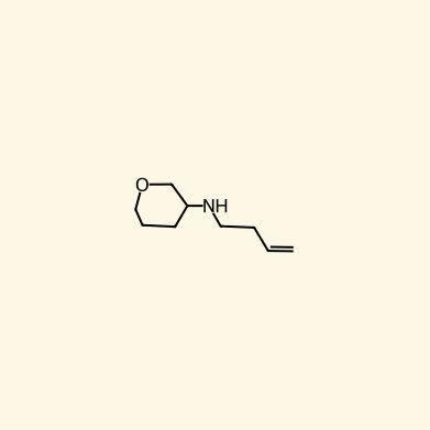 C=CCCNC1CCCOC1